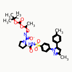 Cc1ccc(-c2cc(C)nn2-c2ccc(S(=O)(=O)NC(=O)[C@@H]3CCCN3/[N+]([O-])=N/OC(C)OC(=O)OC(C)(C)C)cc2)cc1